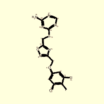 Cc1c(Cl)cc(OCc2noc(CSc3ncnc(N)n3)n2)cc1Cl